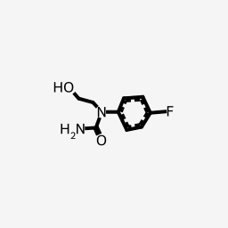 NC(=O)N(CCO)c1ccc(F)cc1